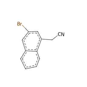 N#CCc1cc(Br)cc2ccccc12